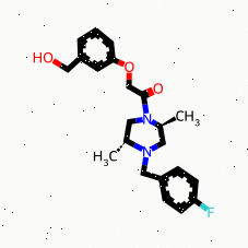 C[C@@H]1CN(C(=O)COc2cccc(CO)c2)[C@@H](C)CN1Cc1ccc(F)cc1